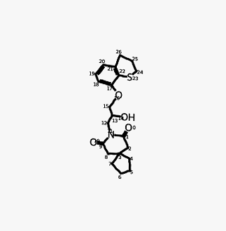 O=C1CC2(CCCC2)CC(=O)N1CC(O)COc1cccc2c1SCCC2